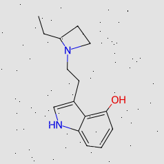 CCC1CCN1CCc1c[nH]c2cccc(O)c12